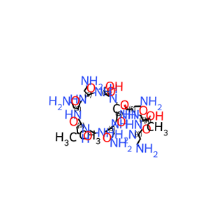 CC(C)C[C@@H]1NC(=O)CNC(=O)[C@H](CCN)NC(=O)[C@@H](NC(=O)[C@H](CCN)NC(=O)[C@@H](NC(=O)[C@@H](N)CCN)[C@@H](C)O)CCNC(=O)[C@H](CO)NC(=O)[C@H](CCN)NC(=O)[C@H](CCN)NC1=O